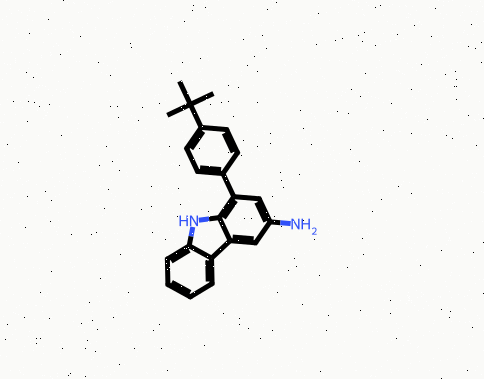 CC(C)(C)c1ccc(-c2cc(N)cc3c2[nH]c2ccccc23)cc1